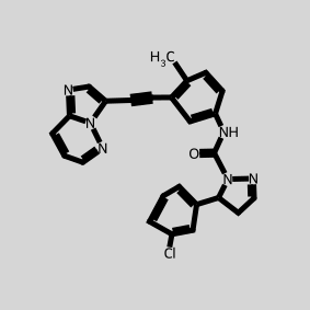 Cc1ccc(NC(=O)N2N=CCC2c2cccc(Cl)c2)cc1C#Cc1cnc2cccnn12